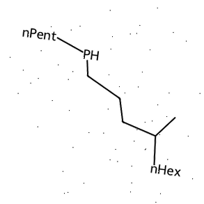 CCCCCCC(C)CCCPCCCCC